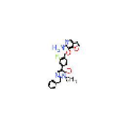 Cn1c(Cc2ccccc2)ncc(-c2ccc(COc3c(N)ncc4ccoc34)c(F)c2)c1=O